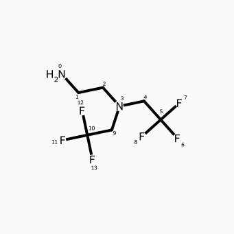 NCCN(CC(F)(F)F)CC(F)(F)F